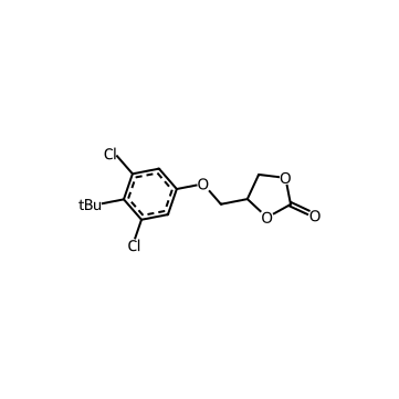 CC(C)(C)c1c(Cl)cc(OCC2COC(=O)O2)cc1Cl